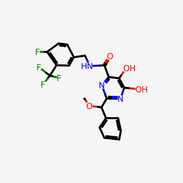 COC(c1ccccc1)c1nc(O)c(O)c(C(=O)NCc2ccc(F)c(C(F)(F)F)c2)n1